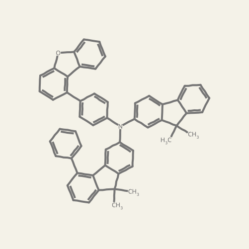 CC1(C)c2ccccc2-c2ccc(N(c3ccc(-c4cccc5oc6ccccc6c45)cc3)c3ccc4c(c3)-c3c(-c5ccccc5)cccc3C4(C)C)cc21